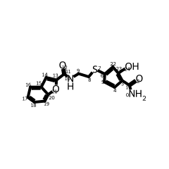 NC(=O)c1ccc(SCCNC(=O)c2cc3ccccc3o2)cc1O